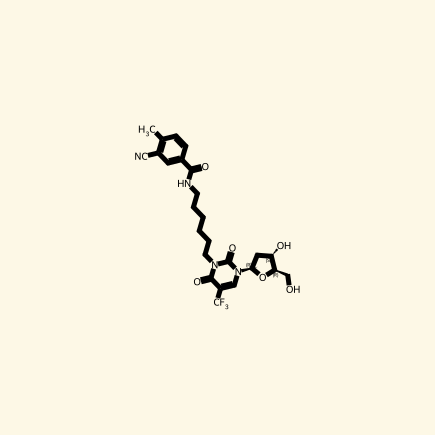 Cc1ccc(C(=O)NCCCCCCn2c(=O)c(C(F)(F)F)cn([C@H]3C[C@H](O)[C@@H](CO)O3)c2=O)cc1C#N